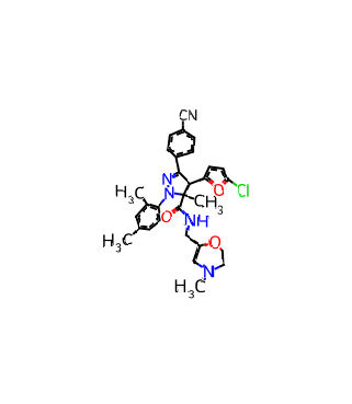 Cc1ccc(N2N=C(c3ccc(C#N)cc3)C(c3ccc(Cl)o3)C2(C)C(=O)NCC2CN(C)CCO2)c(C)c1